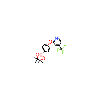 CC1(C)OB(c2ccc(Oc3cc(C(F)(F)F)ccn3)cc2)OC1(C)C